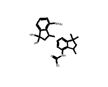 CCC(=O)Nc1cccc2c1C(C)CC2(C)C.CCCC1(CCC)CC(C)c2c(NC(C)=O)cccc21